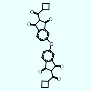 O=C1c2ccc(Oc3ccc4c(c3)C(=O)C(C(=O)C3CCC3)C4=O)cc2C(=O)C1C(=O)C1CCC1